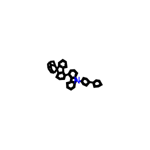 c1ccc(-c2ccc(-n3c4ccccc4c4c(-c5cccc6c5-c5ccccc5C65C6CC7CC(C6)CC5C7)cccc43)cc2)cc1